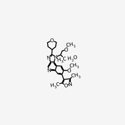 COCC(C)n1c(C2CCOCC2)nc2cnc3cc(-c4c(C)noc4C)c(OC)cc3c21.O